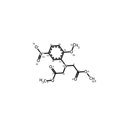 COC(=O)CN(CC(=O)OC)c1cc([N+](=O)[O-])ccc1OC